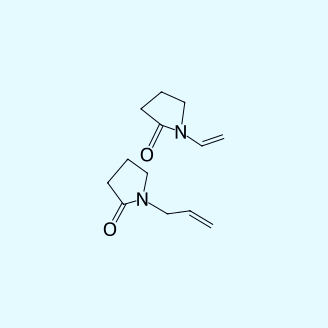 C=CCN1CCCC1=O.C=CN1CCCC1=O